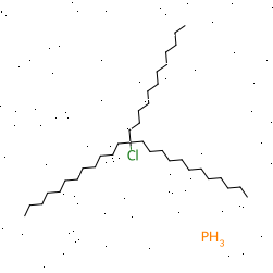 CCCCCCCCCCCCC(Cl)(CCCCCCCCCCCC)CCCCCCCCCCCC.P